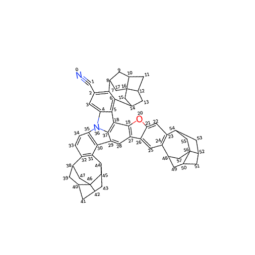 N#Cc1cc2c(c3c1C1CC4CC5CC3CC45C1)c1c3oc4cc5c(cc4c3cc3c4c6c(ccc4n2c31)C1CC2CC3CC6CC23C1)C1CC2CC3CC5CC32C1